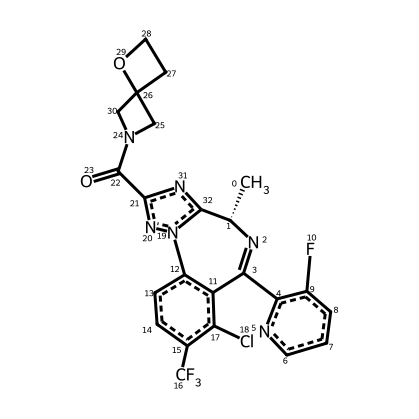 C[C@@H]1N=C(c2ncccc2F)c2c(ccc(C(F)(F)F)c2Cl)-n2nc(C(=O)N3CC4(CCO4)C3)nc21